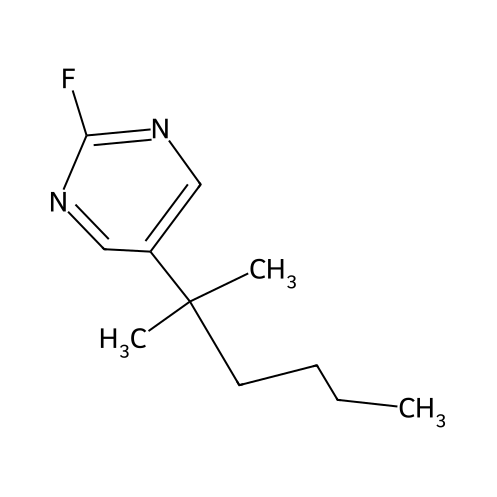 CCCCC(C)(C)c1cnc(F)nc1